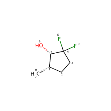 C[C@H]1CCC(F)(F)[C@H]1O